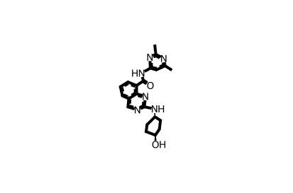 Cc1cc(NC(=O)c2cccc3cnc(N[C@H]4CC[C@H](O)CC4)nc23)nc(C)n1